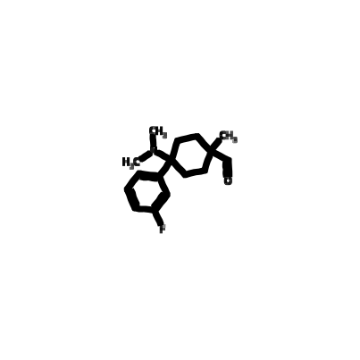 CN(C)C1(c2cccc(F)c2)CCC(C)(C=O)CC1